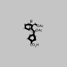 CC(=O)OC[C@H]1[C@@H]([C@H](OC(C)=O)c2ccc(C(=O)O)cc2)C2CC[C@@H]1O2